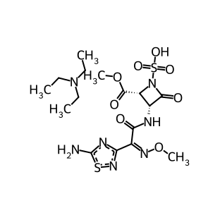 CCN(CC)CC.CO/N=C(\C(=O)N[C@H]1C(=O)N(S(=O)(=O)O)[C@H]1C(=O)OC)c1nsc(N)n1